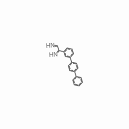 N=CC(=N)c1cccc(-c2ccc(-c3ccccc3)cc2)c1